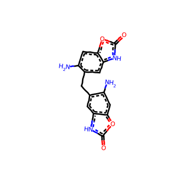 Nc1cc2oc(=O)[nH]c2cc1Cc1cc2[nH]c(=O)oc2cc1N